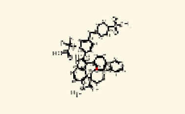 CN1C(=O)C2(CCN(c3ccncn3)CC2)c2c1cnc1[nH]c(-c3ccc(CN4CCC(S(C)(=O)=O)CC4)cc3)c(-c3ccccc3)c21.O=C(O)C(F)(F)F